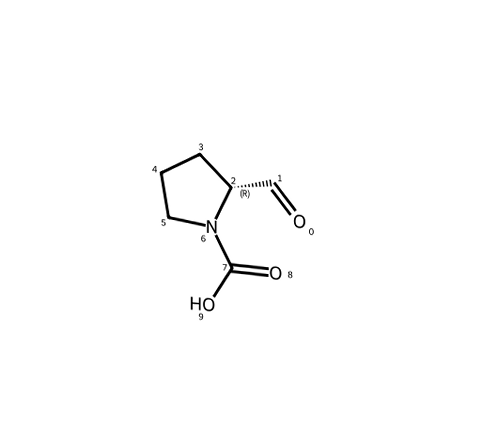 O=C[C@H]1CCCN1C(=O)O